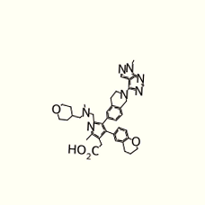 Cc1nc(CN(C)CC2CCOCC2)c(-c2ccc3c(c2)CCN(c2ncnc4c2cnn4C)C3)c(-c2ccc3c(c2)CCCO3)c1CC(=O)O